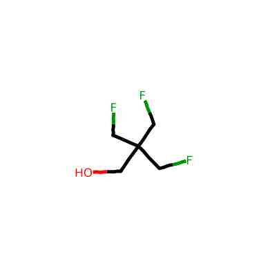 OCC(CF)(CF)CF